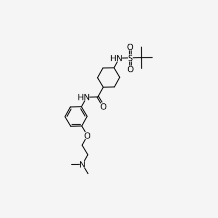 CN(C)CCOc1cccc(NC(=O)C2CCC(NS(=O)(=O)C(C)(C)C)CC2)c1